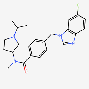 CC(C)N1CCC(N(C)C(=O)c2ccc(Cn3cnc4ccc(F)cc43)cc2)C1